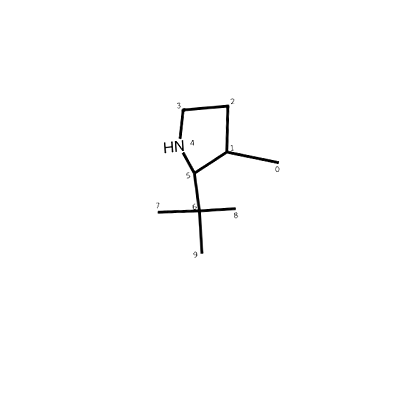 CC1CCNC1C(C)(C)C